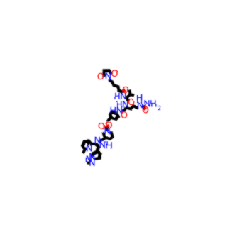 Cc1cccc(-c2nc(C3CCCN(C(=O)OCc4ccc(NC(=O)C(CCCNC(N)=O)NC(=O)C(NC(=O)CCCCCN5C(=O)C=CC5=O)C(C)C)cc4)C3)[nH]c2-c2ccc3ncnn3c2)n1